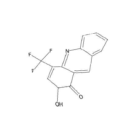 O=C1c2cc3ccccc3nc2C(C(F)(F)F)=CC1O